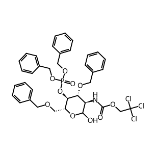 O=C(N[C@H]1C(O)O[C@H](COCc2ccccc2)[C@@H](OP(=O)(OCc2ccccc2)OCc2ccccc2)[C@@H]1OCc1ccccc1)OCC(Cl)(Cl)Cl